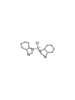 [O-][S+](n1cnc2ccccc21)n1cnc2ccccc21